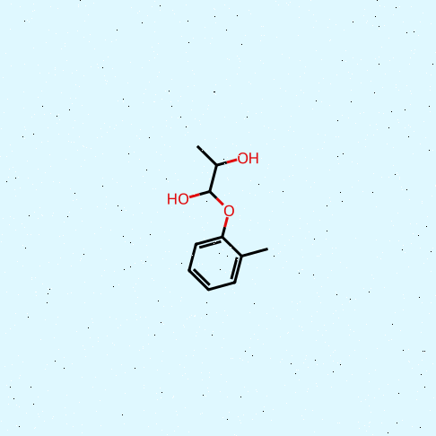 Cc1ccccc1OC(O)C(C)O